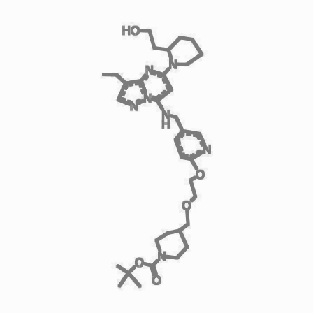 CCc1cnn2c(NCc3ccc(OCCOCC4CCN(C(=O)OC(C)(C)C)CC4)nc3)cc(N3CCCCC3CCO)nc12